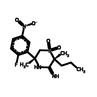 CCC[C@]1(C)C(=N)N[C@](C)(c2cc([N+](=O)[O-])ccc2F)CS1(=O)=O